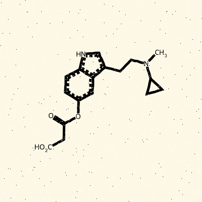 CN(CCc1c[nH]c2ccc(OC(=O)CC(=O)O)cc12)C1CC1